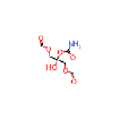 NC(=O)OC(O)(COC=O)COC=O